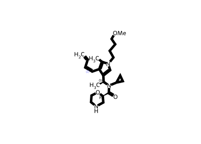 C=C/C=C\c1c([C@H](C)N(C(=O)[C@H]2CNCCO2)C2CC2)cn(CCCCOC)c1C